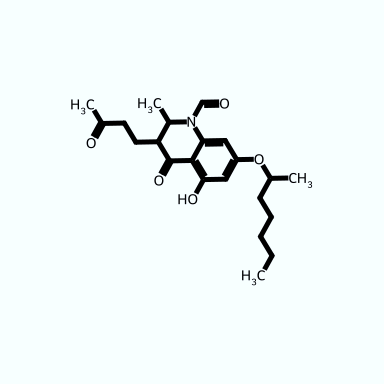 CCCCCC(C)Oc1cc(O)c2c(c1)N(C=O)C(C)C(CCC(C)=O)C2=O